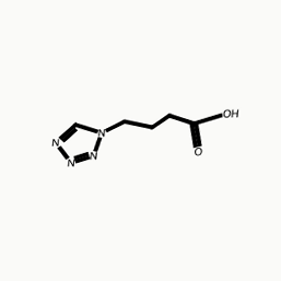 O=C(O)CCCn1[c]nnn1